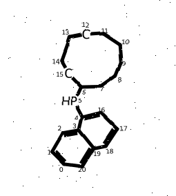 c1ccc2c(PC3CCCCCCCCC3)cccc2c1